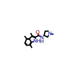 Cc1ccc(C)c2c(C)c(C(=O)N[C@@H]3CCN(C)C3)[nH]c12